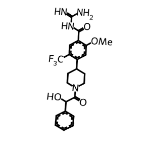 COc1cc(C2CCN(C(=O)C(O)c3ccccc3)CC2)c(C(F)(F)F)cc1C(=O)NC(=N)N